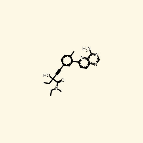 CCN(C)C(=O)C(O)(C#Cc1ccc(C)c(-c2ccc3ncnc(N)c3n2)c1)CC